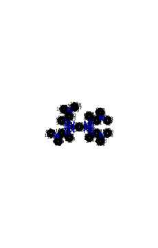 c1ccc(-n2c3ccccc3c3c4c5ccccc5n(-c5nc(-c6ccc(-c7nc(-n8c9ccccc9c9c%10c%11ccccc%11n(-c%11ccccc%11)c%10ccc98)nc(-n8c9ccccc9c9c%10c%11ccccc%11n(-c%11ccccc%11)c%10ccc98)n7)cc6)nc(-n6c7ccccc7c7c8c9ccccc9n(-c9ccccc9)c8ccc76)n5)c4ccc32)cc1